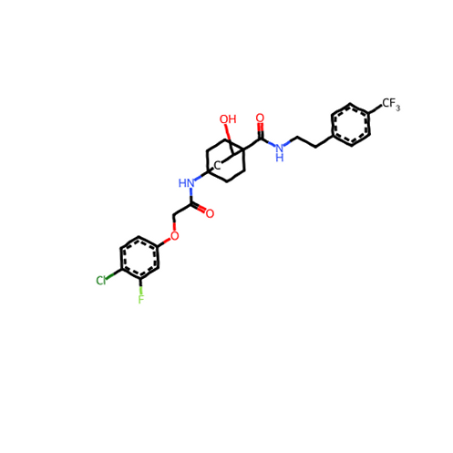 O=C(COc1ccc(Cl)c(F)c1)NC12CCC(C(=O)NCCc3ccc(C(F)(F)F)cc3)(CC1)C(O)C2